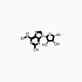 CCNc1nc(C#N)nc2c1ncn2[C@@H]1O[C@H](C(C)=O)[C@@H](O)[C@H]1O